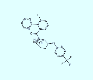 C[C@H]1C2CC(Oc3ccc(C(F)(F)F)cn3)C1N(C(=O)c1cccc(F)c1-c1ncccn1)C2